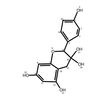 Oc1ccc(C2Oc3cc(O)cc(O)c3CC2(O)O)cc1